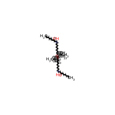 CCCCCC[C@H](O)C/C=C\CCCCCCCC(OOC(CCCCCCC/C=C\C[C@@H](O)CCCCCC)[Si](C)(C)C(C)(C)C)[Si](C)(C)C(C)(C)C